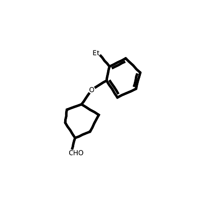 CCc1ccccc1OC1CCC(C=O)CC1